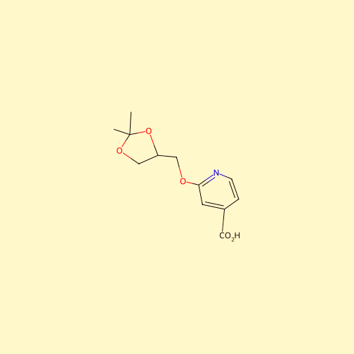 CC1(C)OCC(COc2cc(C(=O)O)ccn2)O1